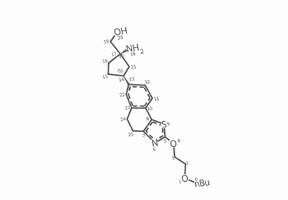 CCCCOCCOc1nc2c(s1)-c1ccc([C@H]3CC[C@](N)(CO)C3)cc1CC2